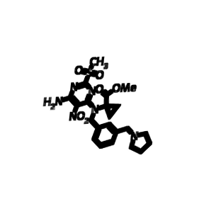 COC(=O)C1(N(Cc2cccc(CN3CCCC3)c2)c2nc(S(C)(=O)=O)nc(N)c2[N+](=O)[O-])CC1